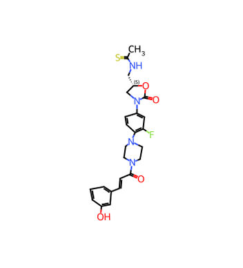 CC(=S)NC[C@H]1CN(c2ccc(N3CCN(C(=O)C=Cc4cccc(O)c4)CC3)c(F)c2)C(=O)O1